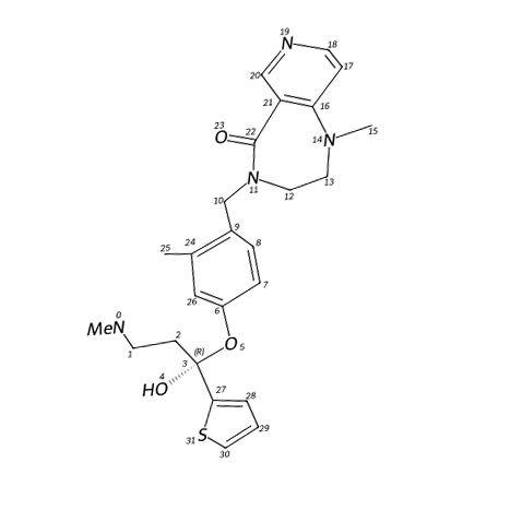 CNCC[C@@](O)(Oc1ccc(CN2CCN(C)c3ccncc3C2=O)c(C)c1)c1cccs1